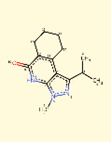 CC(C)c1nn(C)c2[nH]c(=O)c3c(c12)CCCC3